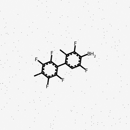 Bc1c(F)cc(-c2c(F)c(F)c(C)c(F)c2F)c(C)c1F